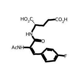 CC(=O)N/C(=C/c1ccc(F)cc1)C(=O)N[C@@H](CCC(=O)O)C(=O)O